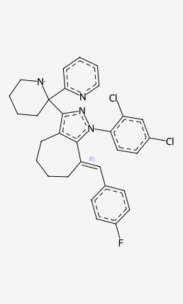 Fc1ccc(/C=C2\CCCCc3c(C4(c5ccccn5)CCCC[N]4)nn(-c4ccc(Cl)cc4Cl)c32)cc1